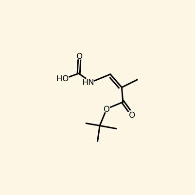 CC(=CNC(=O)O)C(=O)OC(C)(C)C